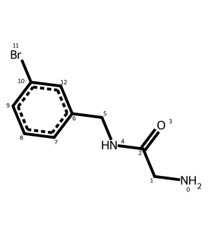 NCC(=O)NCc1cccc(Br)c1